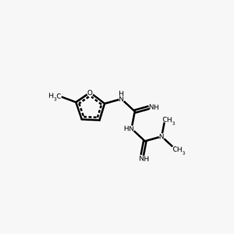 Cc1ccc(NC(=N)NC(=N)N(C)C)o1